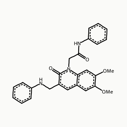 COc1cc2cc(CNc3ccccc3)c(=O)n(CC(=O)Nc3ccccc3)c2cc1OC